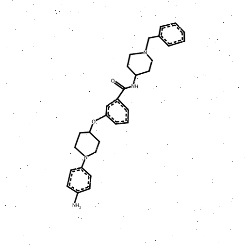 Nc1ccc(N2CCC(Oc3cccc(C(=O)NC4CCN(Cc5ccccc5)CC4)c3)CC2)cc1